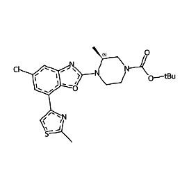 Cc1nc(-c2cc(Cl)cc3nc(N4CCN(C(=O)OC(C)(C)C)C[C@@H]4C)oc23)cs1